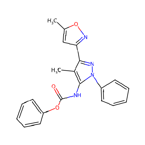 Cc1cc(-c2nn(-c3ccccc3)c(NC(=O)Oc3ccccc3)c2C)no1